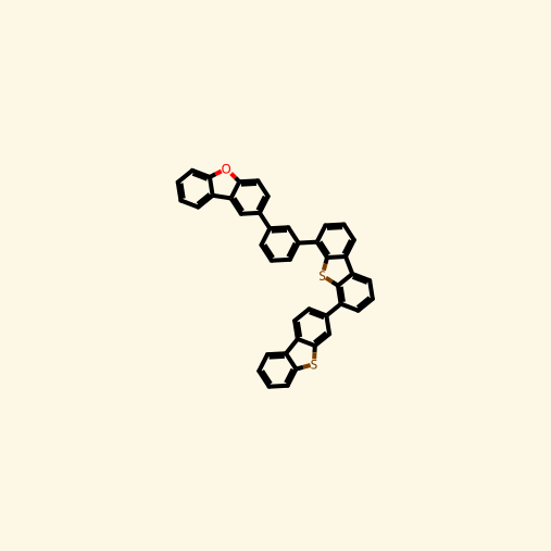 c1cc(-c2ccc3oc4ccccc4c3c2)cc(-c2cccc3c2sc2c(-c4ccc5c(c4)sc4ccccc45)cccc23)c1